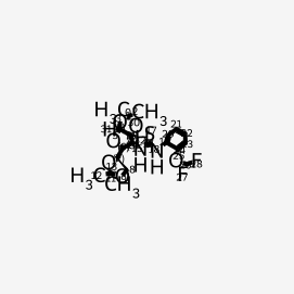 CC1(C)O[C@H]2O[C@H]([C@H]3COC(C)(C)O3)[C@H](NC(=S)Nc3ccccc3OC(F)F)[C@H]2O1